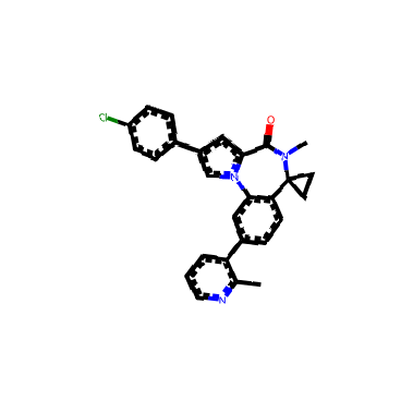 Cc1ncccc1-c1ccc2c(c1)-n1cc(-c3ccc(Cl)cc3)cc1C(=O)N(C)C21CC1